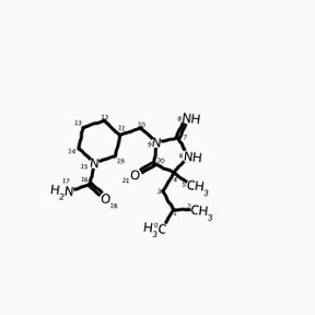 CC(C)CC1(C)NC(=N)N(CC2CCCN(C(N)=O)C2)C1=O